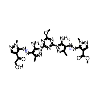 COC(=O)c1cnn(C)c1/N=N/c1c(C)nn(-c2nc(OC)nc(-n3nc(C)c(/N=N/c4c(C(=O)CO)cnn4C)c3N)n2)c1N